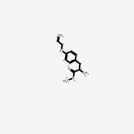 C=CCOc1ccc(CC(C)C(=O)OC)cc1